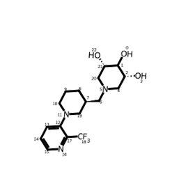 OC1[C@H](O)CN(C[C@@H]2CCCN(c3cccnc3C(F)(F)F)C2)C[C@@H]1O